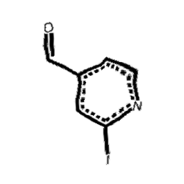 O=Cc1ccnc(I)c1